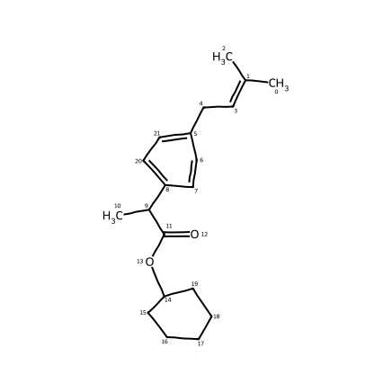 CC(C)=CCc1ccc(C(C)C(=O)OC2CCCCC2)cc1